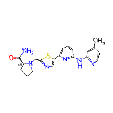 Cc1ccnc(Nc2cccc(-c3cnc(CN4CCC[C@H]4C(N)=O)s3)n2)c1